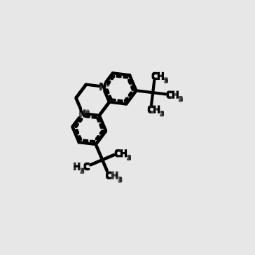 CC(C)(C)c1cc[n+]2c(c1)-c1cc(C(C)(C)C)cc[n+]1CC2